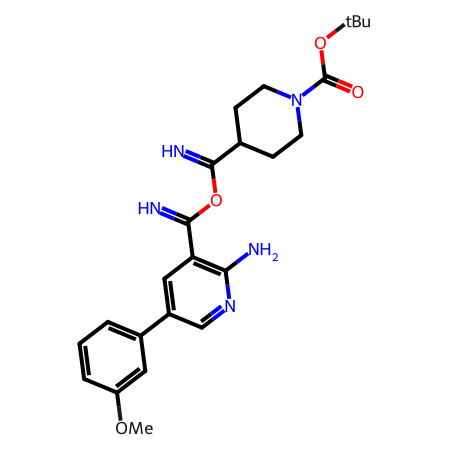 COc1cccc(-c2cnc(N)c(C(=N)OC(=N)C3CCN(C(=O)OC(C)(C)C)CC3)c2)c1